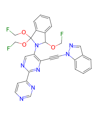 FCOC1c2ccccc2C(OCF)(OCF)N1c1cnc(-c2ccncn2)nc1C#Cn1ncc2ccccc21